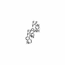 O=C(Nc1ccnc(C(F)(F)F)c1)c1cnn(-c2cccc3ncccc23)c1C(F)(F)F